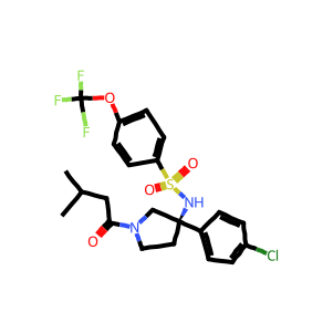 CC(C)CC(=O)N1CC[C@@](NS(=O)(=O)c2ccc(OC(F)(F)F)cc2)(c2ccc(Cl)cc2)C1